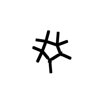 CN1N(C)C(C)(C)C(C)(C)C1(C)C